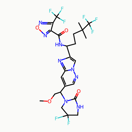 COCC(c1cnn2cc(C(CCC(C)(C)C(F)(F)F)NC(=O)c3nonc3C(F)(F)F)nc2c1)N1CC(F)(F)CNC1=O